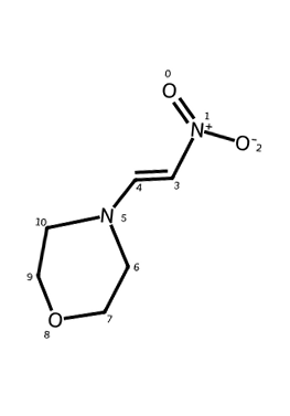 O=[N+]([O-])C=CN1CCOCC1